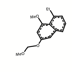 CCc1cccc2cc(OCOC)cc(OC)c12